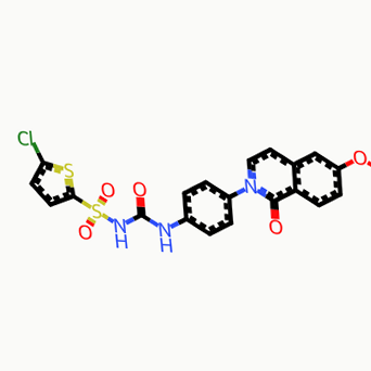 COc1ccc2c(=O)n(-c3ccc(NC(=O)NS(=O)(=O)c4ccc(Cl)s4)cc3)ccc2c1